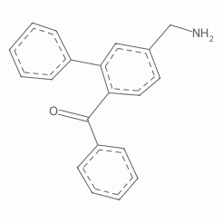 NCc1ccc(C(=O)c2ccccc2)c(-c2ccccc2)c1